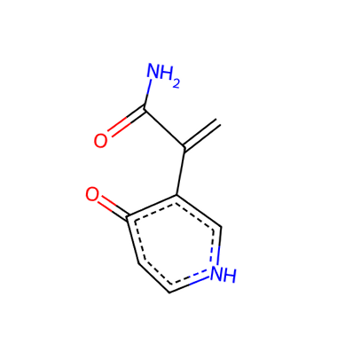 C=C(C(N)=O)c1c[nH]ccc1=O